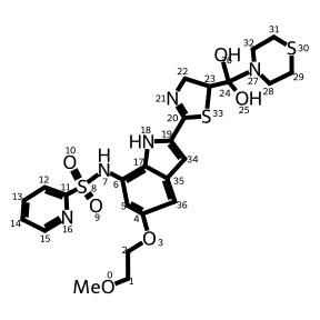 COCCOc1cc(NS(=O)(=O)c2ccccn2)c2[nH]c(C3=NCC(C(O)(O)N4CCSCC4)S3)cc2c1